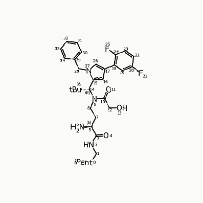 CCCC(C)CNC(=O)[C@@H](N)CCN(C(=O)CO)[C@@H](c1cc(-c2cc(F)ccc2F)cn1Cc1ccccc1)C(C)(C)C